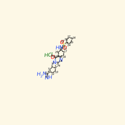 Cl.Cn1c(Cc2ccc(C(=N)N)cc2)nc2ccc(NS(=O)(=O)c3ccccc3)cc2c1=O